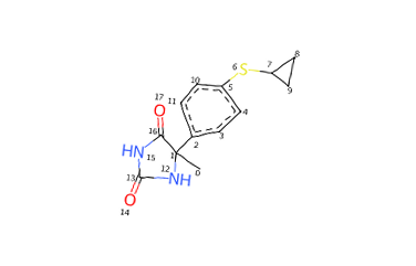 CC1(c2ccc(SC3CC3)cc2)NC(=O)NC1=O